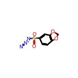 [N-]=[N+]=NS(=O)(=O)c1ccc2c(c1)OCO2